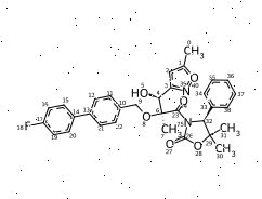 Cc1cc([C@H](O)[C@](C)(OCc2ccc(-c3ccc(F)cc3)cc2)C(=O)N2C(=O)OC(C)(C)[C@@H]2c2ccccc2)no1